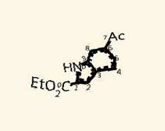 CCOC(=O)c1cc2ccc(C(C)=O)cc2[nH]1